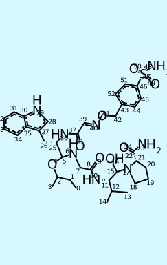 CCC(C)OC(NCC(=O)N[C@@H](C(C)C)C(O)N1CCC[C@H]1C(N)=O)[C@H](Cc1c[nH]c2ccccc12)NC(=O)/C=N/OCc1ccc(S(N)(=O)=O)cc1